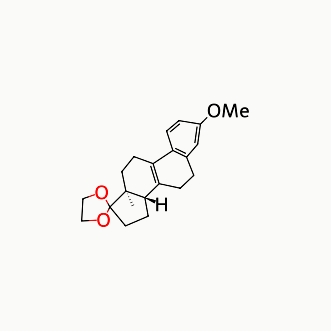 COc1ccc2c(c1)CCC1=C2CC[C@@]2(C)[C@H]1CCC21OCCO1